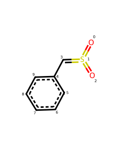 O=S(=O)=Cc1[c]cccc1